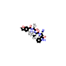 CC(C)C[C@@H](C(=O)N1C[C@]2(C[C@H]1C#N)C(=O)Nc1ccccc12)N(C)C(=O)[C@H](C)NC(=O)c1ccc2c(c1)OCC2